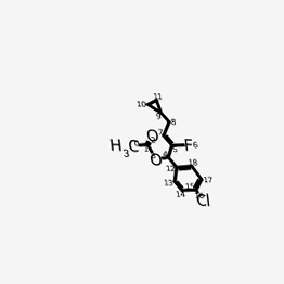 CC(=O)OC(C(F)=CCC1CC1)c1ccc(Cl)cc1